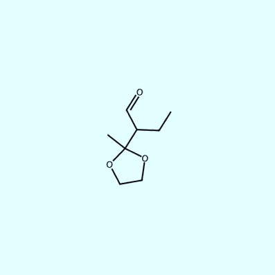 CCC(C=O)C1(C)OCCO1